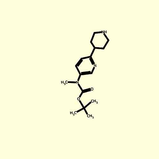 CN(C(=O)OC(C)(C)C)c1ccc(C2CCNCC2)nc1